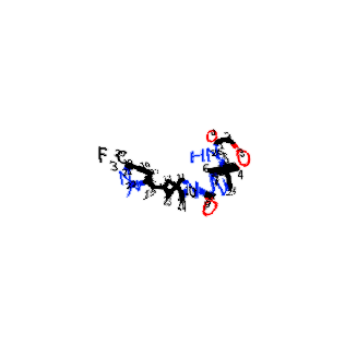 O=C1COCC2(CN(C(=O)N3CC4(CC(Cc5ccc(C(F)(F)F)nn5)C4)C3)C2)N1